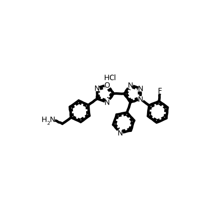 Cl.NCc1ccc(-c2noc(-c3nnn(-c4ccccc4F)c3-c3ccncc3)n2)cc1